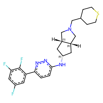 Fc1cc(F)c(F)c(-c2ccc(N[C@@H]3C[C@@H]4CN(CC5CCSCC5)C[C@@H]4C3)nn2)c1